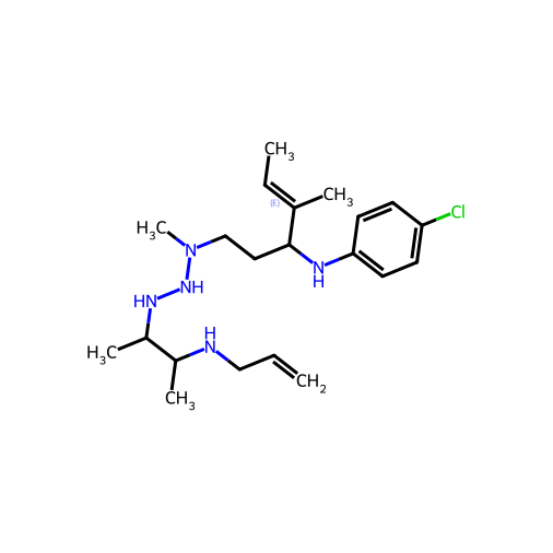 C=CCNC(C)C(C)NNN(C)CCC(Nc1ccc(Cl)cc1)/C(C)=C/C